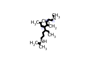 C=C(C)NCCCC(CC)/C(=C/C(C)C)C(=C)/C=C\C=N/C